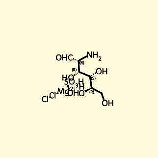 N[C@@H](C=O)[C@@H](O)[C@H](O)[C@H](O)CO.O=S(=O)(O)O.[Cl-].[Cl-].[Mg+2]